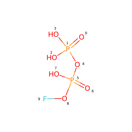 O=P(O)(O)OP(=O)(O)OF